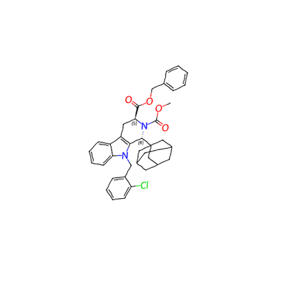 COC(=O)N1[C@H](C23CC4CC(CC(C4)C2)C3)c2c(c3ccccc3n2Cc2ccccc2Cl)C[C@H]1C(=O)OCc1ccccc1